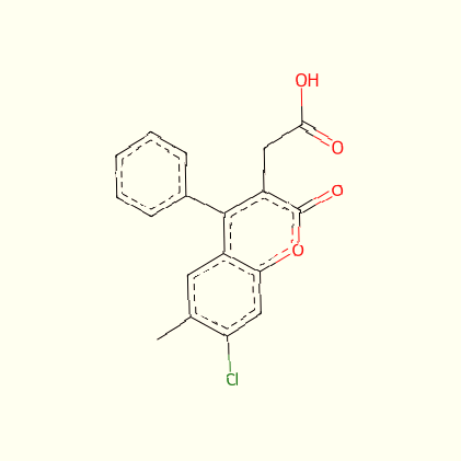 Cc1cc2c(-c3ccccc3)c(CC(=O)O)c(=O)oc2cc1Cl